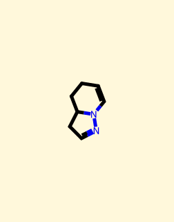 C1=CN2N=CCC2CC1